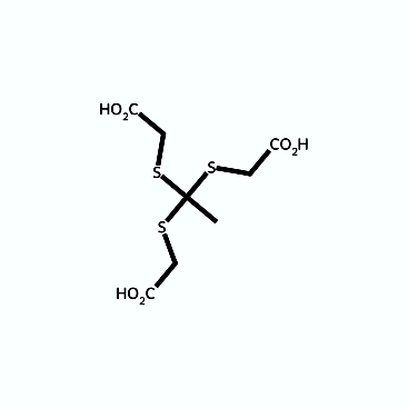 CC(SCC(=O)O)(SCC(=O)O)SCC(=O)O